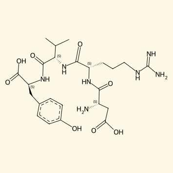 CC(C)[C@H](NC(=O)[C@H](CCCNC(=N)N)NC(=O)[C@@H](N)CC(=O)O)C(=O)N[C@@H](Cc1ccc(O)cc1)C(=O)O